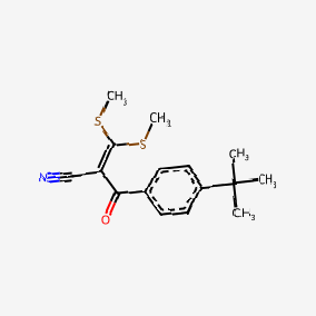 CSC(SC)=C(C#N)C(=O)c1ccc(C(C)(C)C)cc1